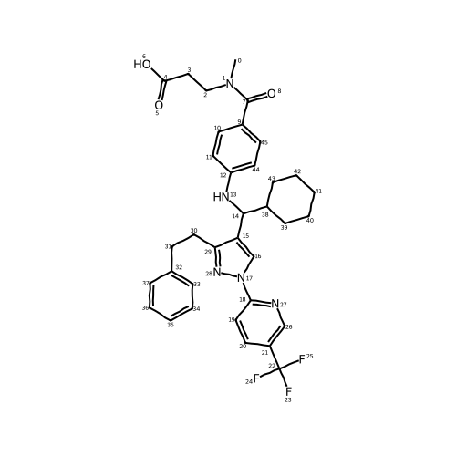 CN(CCC(=O)O)C(=O)c1ccc(NC(c2cn(-c3ccc(C(F)(F)F)cn3)nc2CCc2ccccc2)C2CCCCC2)cc1